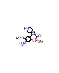 CCc1cc(N)c(OC)cc1C1N(C(=O)OC(C)(C)C)CC12CCNCC2